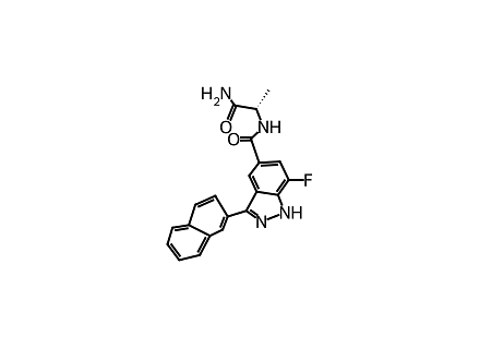 C[C@H](NC(=O)c1cc(F)c2[nH]nc(-c3ccc4ccccc4c3)c2c1)C(N)=O